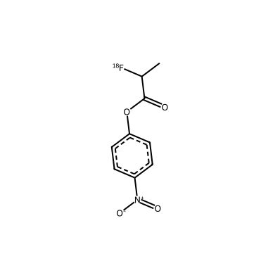 CC([18F])C(=O)Oc1ccc([N+](=O)[O-])cc1